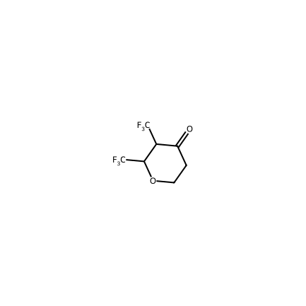 O=C1CCOC(C(F)(F)F)C1C(F)(F)F